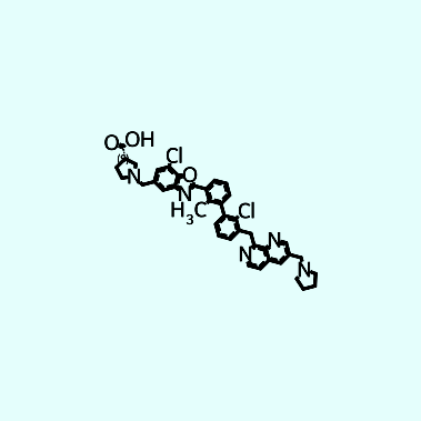 Cc1c(-c2nc3cc(CN4CC[C@H](C(=O)O)C4)cc(Cl)c3o2)cccc1-c1cccc(Cc2nccc3cc(CN4CCCC4)cnc23)c1Cl